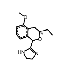 CC[C@@H]1Cc2c(OC)cccc2C(C2=NCCN2)O1